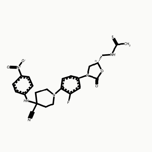 CC(=S)NC[C@H]1CN(c2ccc(N3CCC(C#N)(Nc4ccc([N+](=O)[O-])cc4)CC3)c(F)c2)C(=O)O1